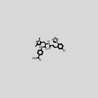 Cc1cc(CC(NC(=O)C=Cc2cc(Cl)ccc2-n2cnnn2)C(=O)Nc2ccc(C(=O)O)cc2)n(C)n1